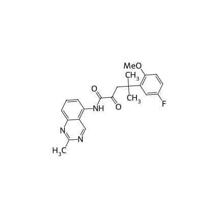 COc1ccc(F)cc1C(C)(C)CC(=O)C(=O)Nc1cccc2nc(C)ncc12